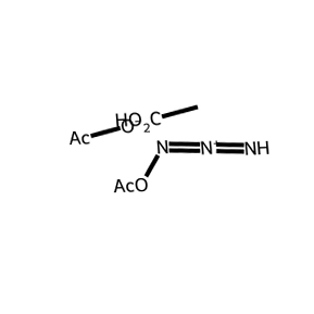 CC(=O)O.CC(=O)ON=[N+]=N.CC(=O)[O-]